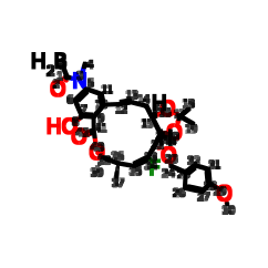 BC(=O)N(C)c1cc(O)c2c(c1)/C=C/C[C@@H]1OC(C)(C)O[C@@H]1[C@H](OCc1ccc(OC)cc1)/C(F)=C\[C@@H](C)[C@H](C)OC2=O